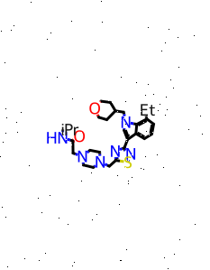 CCc1cccc2c(-c3nsc(CN4CCN(CC(=O)NC(C)C)CC4)n3)cn(CC3CCOCC3)c12